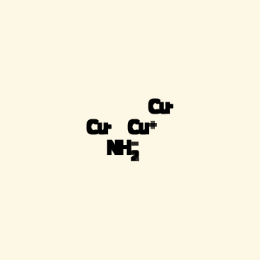 [Cu+].[Cu].[Cu].[NH2-]